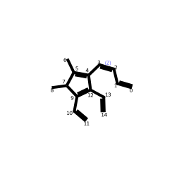 C=C/C=C\C1=C(C)C(C)C(C=C)=C1C=C